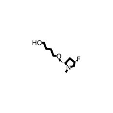 CN1C[C@@H](F)C[C@H]1COCCCCO